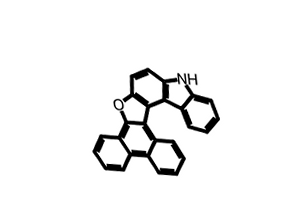 c1ccc2c(c1)[nH]c1ccc3oc4c5ccccc5c5ccccc5c4c3c12